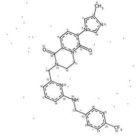 Cc1cn(-c2ccc3n(c2=O)CCN(Cc2cccc(NCc4ccc(C(F)(F)F)cc4)n2)C3=O)cn1